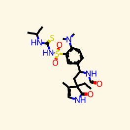 CCC1(CC(NC=O)c2ccc(N(C)C)c(S(=O)(=O)NC(=S)NC(C)C)c2)C(=O)NC=C1C